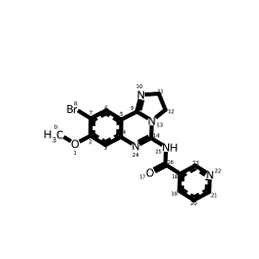 COc1cc2c(cc1Br)C1=NCCN1C(NC(=O)c1cccnc1)=N2